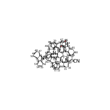 N#Cc1ccc(-c2c(-n3c4ccccc4c4ccccc43)c(-n3c4ccccc4c4ccccc43)c(-n3c4ccccc4c4cc(-n5c6ccccc6c6ccccc65)ccc43)c(-n3c4ccccc4c4ccccc43)c2-n2c3ccccc3c3ccccc32)nc1